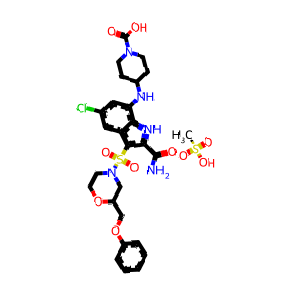 CS(=O)(=O)O.NC(=O)c1[nH]c2c(NC3CCN(C(=O)O)CC3)cc(Cl)cc2c1S(=O)(=O)N1CCOC(COc2ccccc2)C1